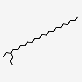 [CH2]CCCCCCCCCCCCCCCCCCC(CC)CC[CH2]